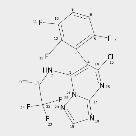 C[C@H](Nc1c(-c2c(F)ccc(F)c2F)c(Cl)nc2ncnn12)C(F)(F)F